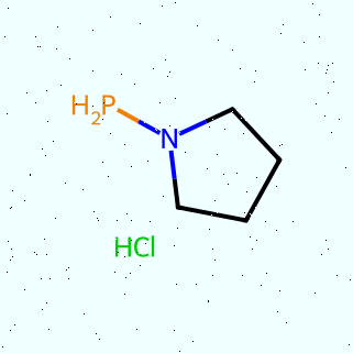 Cl.PN1CCCC1